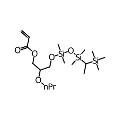 C=CC(=O)OCC(CO[Si](C)(C)O[Si](C)(C)C(C)[Si](C)(C)C)OCCC